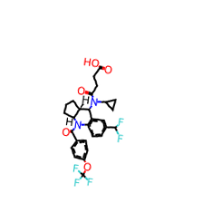 O=C(O)CCC(=O)N(C1CC1)[C@H]1c2cc(C(F)F)ccc2N(C(=O)c2ccc(OC(F)(F)F)cc2)[C@@H]2CCC[C@@H]21